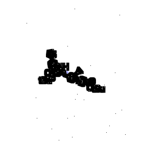 CC(C)(C)OC(=O)Nc1ccc(-c2cccs2)cc1NC(=O)/C=C/c1ccc(N2CCN(C(=O)OC(C)(C)C)CC2)c(C2CC2)c1